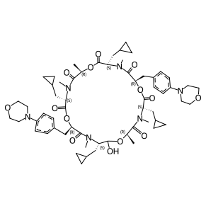 C[C@H]1OC(=O)[C@H](CC2CC2)N(C)C(=O)[C@@H](Cc2ccc(N3CCOCC3)cc2)OC(=O)[C@H](CC2CC2)N(C)C(=O)[C@@H](C)OC(O)[C@H](CC2CC2)N(C)C(=O)[C@@H](Cc2ccc(N3CCOCC3)cc2)OC(=O)[C@H](CC2CC2)N(C)C1=O